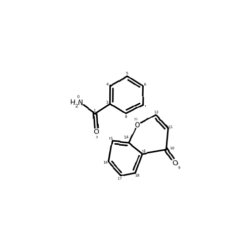 NC(=O)c1ccccc1.O=c1ccoc2ccccc12